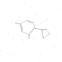 Fc1cc(Cl)ccc1[C]1CCC1